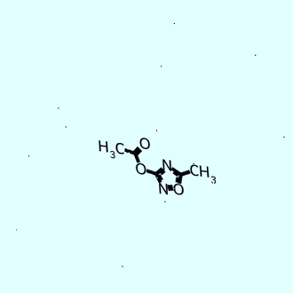 CC(=O)Oc1noc(C)n1